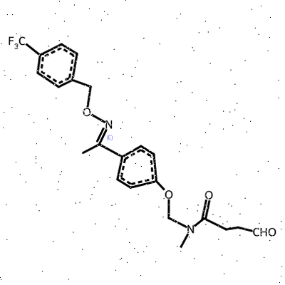 C/C(=N\OCc1ccc(C(F)(F)F)cc1)c1ccc(OCN(C)C(=O)CCC=O)cc1